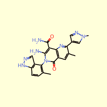 Cc1cc2c(=O)n(-c3c(C)ccc4[nH]ncc34)c(N)c(C(N)=O)c2nc1-c1cnn(C)c1